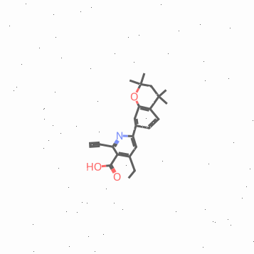 C#Cc1nc(-c2ccc3c(c2)OC(C)(C)CC3(C)C)cc(CC)c1C(=O)O